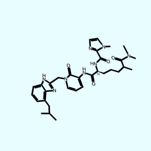 CC(C)Cc1cccc2[nH]c(Cn3cccc(NC(=O)[C@H](CCCC(C)C(=O)N(C)C)NC(=O)c4nccn4C)c3=O)nc12